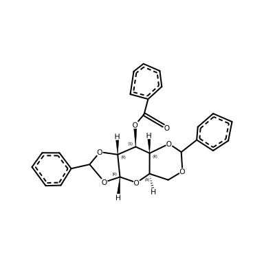 O=C(O[C@@H]1[C@H]2OC(c3ccccc3)O[C@H]2O[C@@H]2COC(c3ccccc3)O[C@@H]12)c1ccccc1